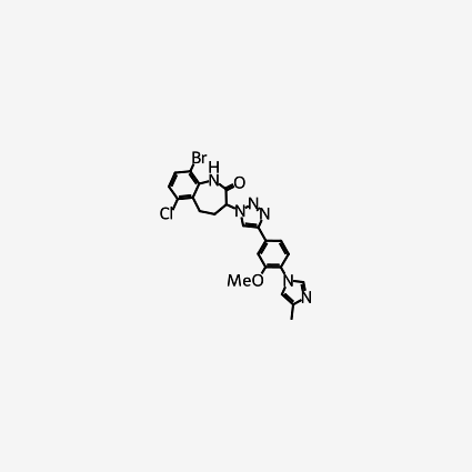 COc1cc(-c2cn(C3CCc4c(Cl)ccc(Br)c4NC3=O)nn2)ccc1-n1cnc(C)c1